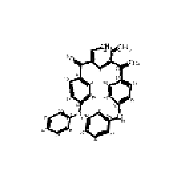 C=C/C(=C\C(=C/C)C(=O)c1ccc(Oc2ccccc2)cc1)C(=O)c1ccc(Oc2ccccc2)cc1